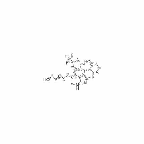 CNc1nc(Oc2cccc(O)c2)n(Cc2ccc(C(F)(F)F)cc2)c1C(=O)NCCOCCO